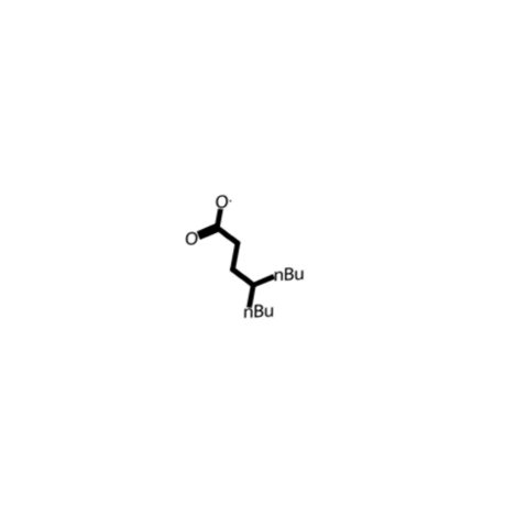 CCCCC(CCCC)CCC([O])=O